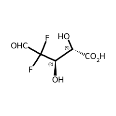 O=CC(F)(F)[C@H](O)[C@H](O)C(=O)O